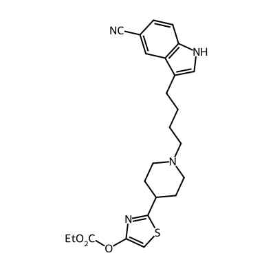 CCOC(=O)Oc1csc(C2CCN(CCCCc3c[nH]c4ccc(C#N)cc34)CC2)n1